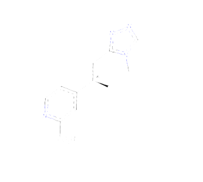 C[C@H](Cc1nncn1C)c1ccnc(C(=O)O)c1